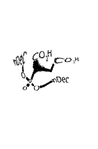 CCCCCCCCCCOP(=O)(OCCCCCCCCCC)C(CC(=O)O)C(=O)O